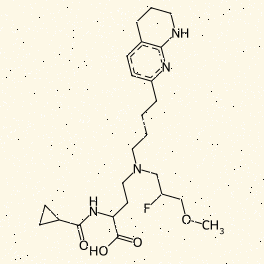 COCC(F)CN(CCCCc1ccc2c(n1)NCCC2)CCC(NC(=O)C1CC1)C(=O)O